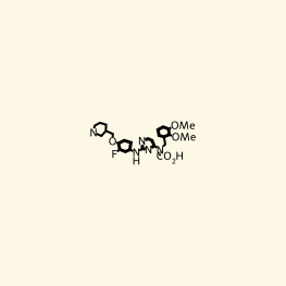 COc1cccc(CN(C(=O)O)c2ccnc(Nc3ccc(OCC4CCCN(C)C4)c(F)c3)n2)c1OC